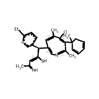 CCc1ccc(C(/C(S)=C/C(C)=N)C2=C/N=C(C)\C(C3(C)C=CC=CC3)=C(Cl)/C(C)=C\2)cn1